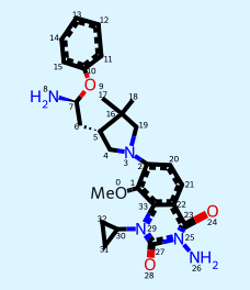 COc1c(N2C[C@H](C[C@@H](N)Oc3ccccc3)C(C)(C)C2)ccc2c(=O)n(N)c(=O)n(C3CC3)c12